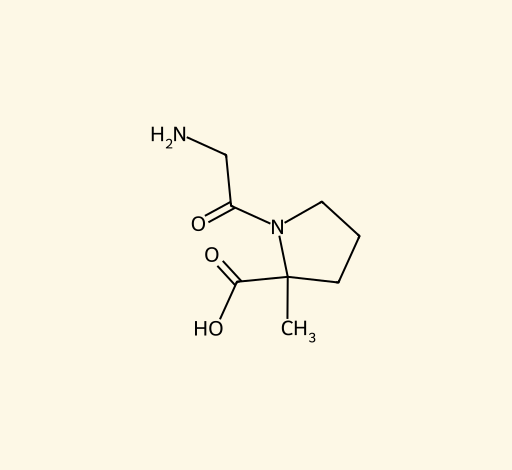 CC1(C(=O)O)CCCN1C(=O)CN